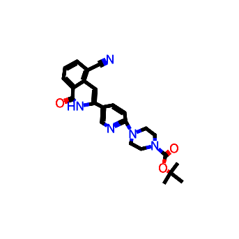 CC(C)(C)OC(=O)N1CCN(c2ccc(-c3cc4c(C#N)cccc4c(=O)[nH]3)cn2)CC1